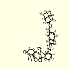 O=C1CCC(N2C(=O)c3cccc(NCc4cc5cc(COC67CC8CC9CC(C6)C98C7)ccc5o4)c3C2=O)C(=O)N1